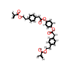 C=C(C)C(=O)OCCc1ccc(CC(=O)Oc2ccc(OC(=O)Cc3ccc(CCOC(=O)C(=C)C)cc3)cc2)cc1